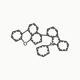 c1ccc(-n2c3ccccc3c3cccc(-c4ccc5c6c(cccc46)-c4ccccc4O5)c32)cc1